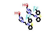 OCCN1CCN(CCCN2c3ccccc3Sc3ccc(C(F)(F)F)cc32)CC1.OCCN1CCN(CCCN2c3ccccc3Sc3ccc(C(F)(F)F)cc32)CC1